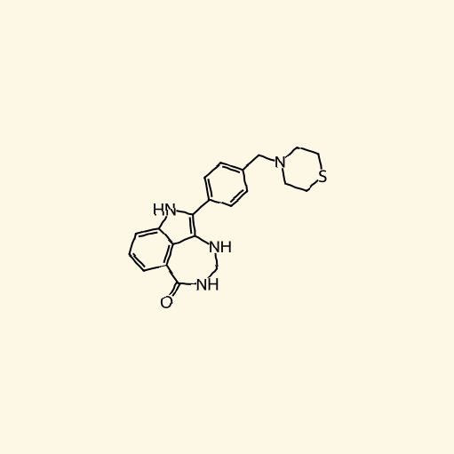 O=C1NCNc2c(-c3ccc(CN4CCSCC4)cc3)[nH]c3cccc1c23